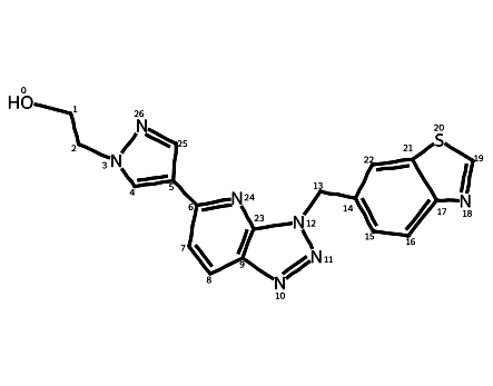 OCCn1cc(-c2ccc3nnn(Cc4ccc5ncsc5c4)c3n2)cn1